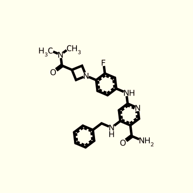 CN(C)C(=O)C1CN(c2ccc(Nc3cc(NCc4ccccc4)c(C(N)=O)cn3)cc2F)C1